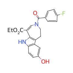 CCOC(=O)C1=CN(C(=O)c2ccc(F)cc2)CCc2c1[nH]c1ccc(O)cc21